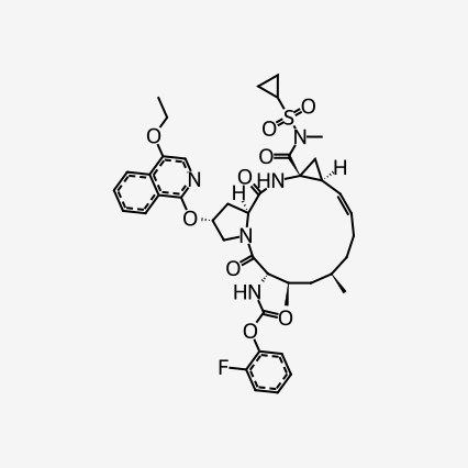 CCOc1cnc(O[C@@H]2C[C@H]3C(=O)N[C@]4(C(=O)N(C)S(=O)(=O)C5CC5)C[C@H]4/C=C\CC[C@@H](C)C[C@@H](C)[C@H](NC(=O)Oc4ccccc4F)C(=O)N3C2)c2ccccc12